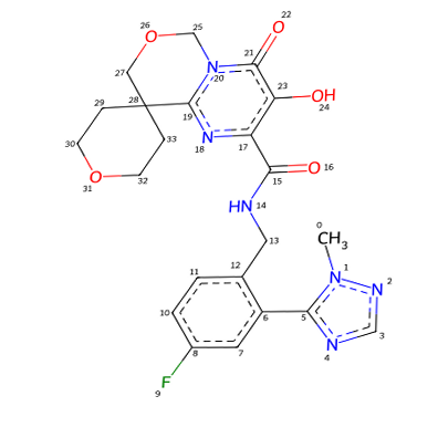 Cn1ncnc1-c1cc(F)ccc1CNC(=O)c1nc2n(c(=O)c1O)COCC21CCOCC1